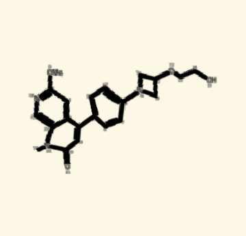 COc1cc2c(-c3ccc(N4CC(OCCO)C4)cc3)cc(=O)n(C)c2cn1